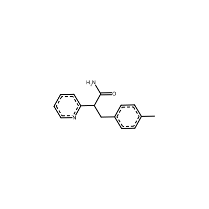 Cc1ccc(CC(C(N)=O)c2ccccn2)cc1